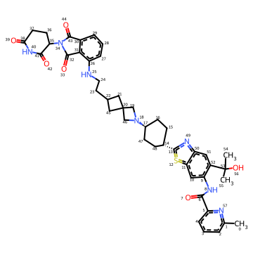 Cc1cccc(C(=O)Nc2cc3sc([C@H]4CC[C@H](N5CC6(CC(CCNc7cccc8c7C(=O)N(C7CCC(=O)NC7=O)C8=O)C6)C5)CC4)nc3cc2C(C)(C)O)n1